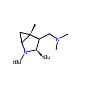 CN(C)CC1[C@@H](C(C)(C)C)N(C(C)(C)C)C2C[C@]12C